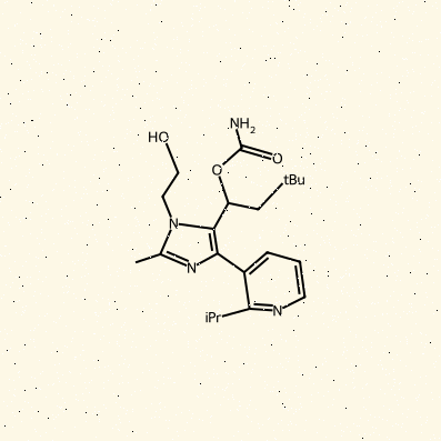 Cc1nc(-c2cccnc2C(C)C)c(C(CC(C)(C)C)OC(N)=O)n1CCO